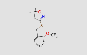 CC1(C)CC(SCc2ccccc2OC(F)(F)F)=NO1